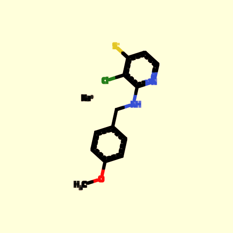 COc1ccc(CNc2nccc([S-])c2Cl)cc1.[Na+]